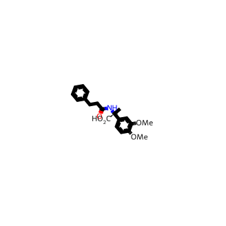 COc1ccc([C@](C)(NC(=O)CCc2ccccc2)C(=O)O)cc1OC